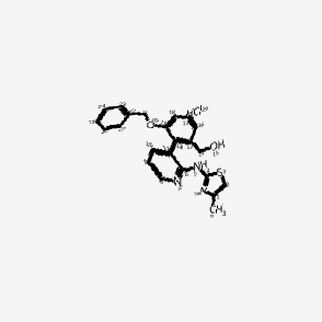 Cc1csc(Nc2ncccc2-c2c(CO)cccc2OCc2ccccc2)n1.Cl